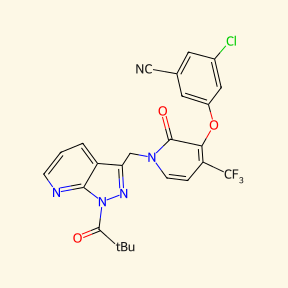 CC(C)(C)C(=O)n1nc(Cn2ccc(C(F)(F)F)c(Oc3cc(Cl)cc(C#N)c3)c2=O)c2cccnc21